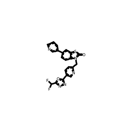 O=c1sc2cc(-c3cccnc3)ccc2n1Cc1ccc(-c2nnc(C(F)F)o2)cn1